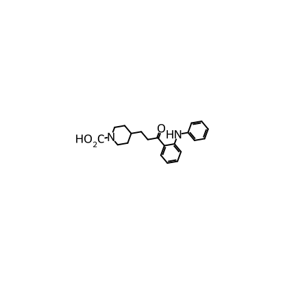 O=C(CCC1CCN(C(=O)O)CC1)c1ccccc1Nc1ccccc1